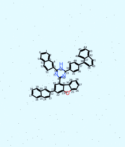 c1ccc2cc(C3=NC(c4cc(-c5ccc6ccccc6c5)cc5oc6ccccc6c45)=NC(c4ccc(-c5cccc6ccccc56)cc4)N3)ccc2c1